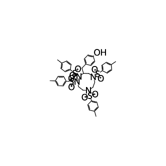 Cc1ccc(S(=O)(=O)N2CCN(S(=O)(=O)c3ccc(C)cc3)CC(Cc3ccc(O)cc3)N(S(=O)(=O)c3ccc(C)cc3)N(S(=O)(=O)c3ccc(C)cc3)CC2)cc1